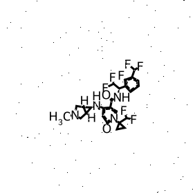 CN1C[C@@H]2[C@H](C1)[C@H]2Nc1cc(=O)n(C2(C(F)F)CC2)cc1C(=O)N[C@H](c1cccc(C(F)F)c1F)C(F)F